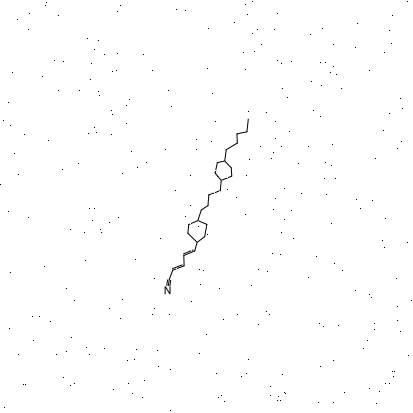 CCCCCC1CCC(CCCCC2CCC(C=CC=CC#N)CC2)CC1